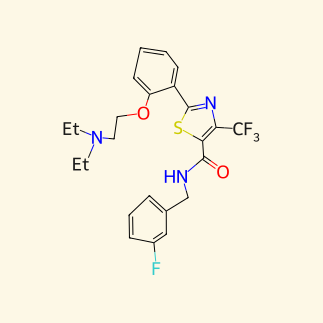 CCN(CC)CCOc1ccccc1-c1nc(C(F)(F)F)c(C(=O)NCc2cccc(F)c2)s1